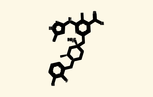 CCC(=O)c1cc(C[C@@]2(C(=O)O)CCN(Cc3cccc(Cl)c3F)[C@H](C)C2)nc(Nc2cc(C)[nH]n2)c1C